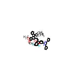 CCC1(CC)c2ccccc2-c2c1c1c(c3cc(OC)c(OC)cc23)OC(c2ccc(-c3nc(-c4ccccc4)cc(-c4ccccc4)n3)cc2)(c2cc(F)cc(F)c2)C=C1